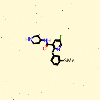 CSc1cccc(Cc2ncc(F)cc2C(=O)NC2CCNCC2)c1